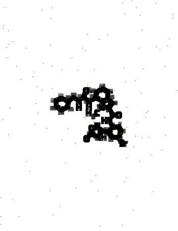 Cn1c(C(=O)Nc2ccc(Br)cc2-c2noc(=O)[nH]2)cc2cccc(NC(=O)NCc3ccccc3)c21